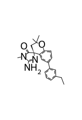 CCc1cccc(-c2ccc3c(c2)[C@]2(CC(C)(C)O3)N=C(N)N(C)C2=O)c1